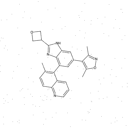 Cc1ccc2ncccc2c1-c1cc(-c2c(C)noc2C)cc2[nH]c(C3COC3)nc12